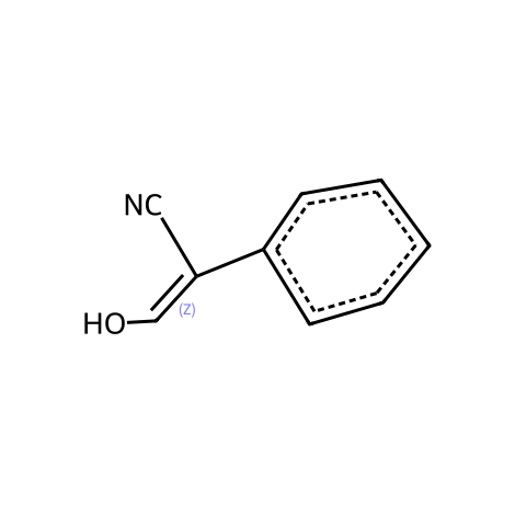 N#C/C(=C\O)c1ccccc1